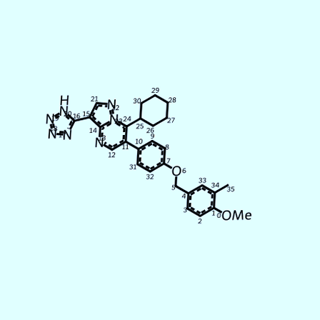 COc1ccc(COc2ccc(-c3cnc4c(-c5nnn[nH]5)cnn4c3C3CCCCC3)cc2)cc1C